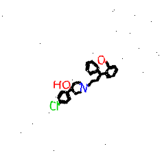 OC1(c2ccc(Cl)cc2)CCN(CCC=C2c3ccccc3COc3ccccc32)CC1